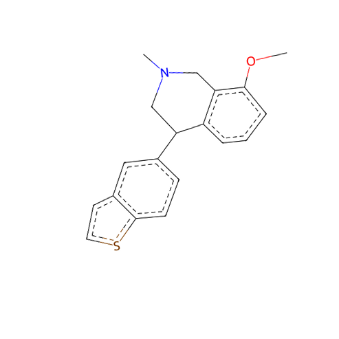 COc1cccc2c1CN(C)CC2c1ccc2sccc2c1